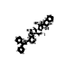 CCN(C(=O)[C@H]1O[C@@H](O)[C@@](O)(C(CO)Cc2ccccc2)[C@@H]1O)n1c(N)nc2c(NCC(c3ccccc3)c3ccccc3)ncnc21